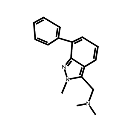 CN(C)Cc1c2cccc(-c3ccccc3)c2nn1C